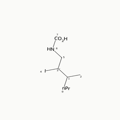 CCCC(C)[C](I)CNC(=O)O